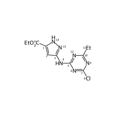 CCOC(=O)c1cc(Nc2nc(Cl)nc(CC)n2)n[nH]1